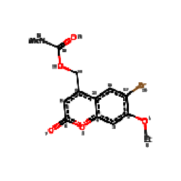 CCOc1cc2oc(=O)cc(COC(=O)NC)c2cc1Br